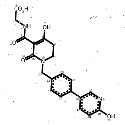 O=C(O)CNC(=O)C1=C(O)CCN(Cc2ccc(-c3ccc(O)nc3)cc2)C1=O